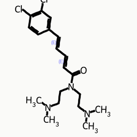 CN(C)CCN(CCN(C)C)C(=O)/C=C/C=C/c1ccc(Cl)c(Cl)c1